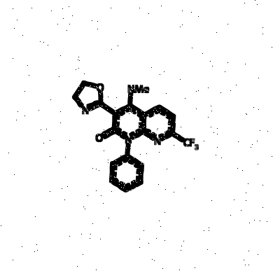 CNc1c(C2=NCCO2)c(=O)n(-c2ccccc2)c2nc(C(F)(F)F)ccc12